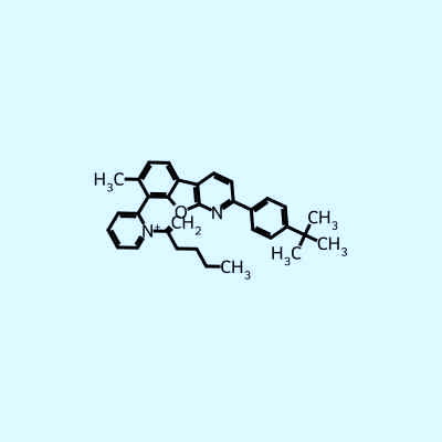 C=C(CCCC)[n+]1ccccc1-c1c(C)ccc2c1oc1nc(-c3ccc(C(C)(C)C)cc3)ccc12